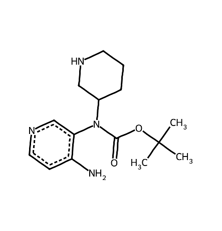 CC(C)(C)OC(=O)N(c1cnccc1N)C1CCCNC1